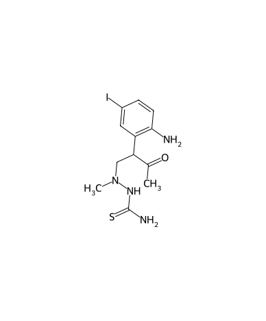 CC(=O)C(CN(C)NC(N)=S)c1cc(I)ccc1N